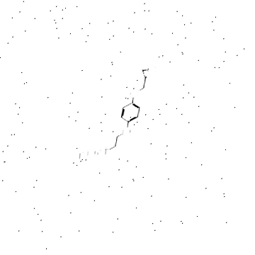 CCCCCCCCCCOc1ccc(OCC2CO2)cc1